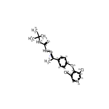 C/C(=N\NC(=S)NC(C)(C)C)c1ccc(Oc2c(Cl)cncc2Cl)cc1